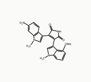 COc1cccc2c1c(C1=C(c3cn(C)c4cc([N+](=O)[O-])ccc34)C(=O)NC1=O)cn2C